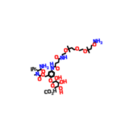 CC(C)[C@@H](C(N)=O)N(C)C(=O)OCc1cc(NC(=O)CCC(=O)NCCOC(C)(C)CCOCCOC(C)(C)CCON)ccc1OC1OC(C(=O)O)C(O)C(O)C1O